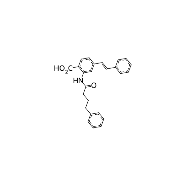 O=C(CCCc1ccccc1)Nc1cc(C=Cc2ccccc2)ccc1C(=O)O